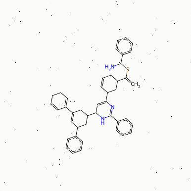 C=C(SC(N)c1ccccc1)C1CC=CC(C2=CC(C3CC(C4=CCCC=C4)=CC(c4ccccc4)C3)NC(c3ccccc3)=N2)C1